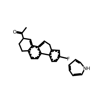 C1=CC=CNC=C1.CC(=O)C1C=c2c(ccc3c2=CCc2cc(F)ccc2-3)CC1